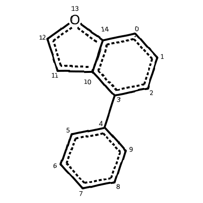 [c]1ccc(-c2ccccc2)c2ccoc12